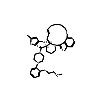 COCCOc1ccccc1N1CCN(C(=O)[C@]2(Oc3csc(C)c3)CCCN3C(=O)c4c(C)ccnc4OCCCC/C=C/C[C@@H]32)CC1